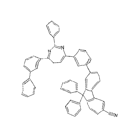 N#Cc1ccc2c(c1)-c1ccc(-c3cccc(C4=CCC(c5cccc(-c6ccccc6)c5)=NC(c5ccccc5)=N4)c3)cc1C2(c1ccccc1)c1ccccc1